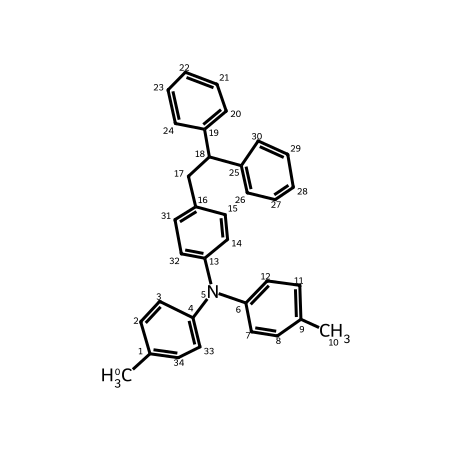 Cc1ccc(N(c2ccc(C)cc2)c2ccc(CC(c3ccccc3)c3ccccc3)cc2)cc1